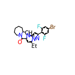 CCc1cc(C(=O)N2CCCCCC2C)nc2cc(-c3c(F)cc(Br)cc3F)nn12